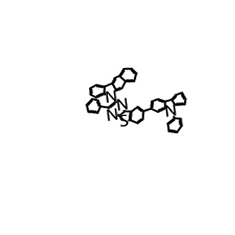 c1ccc(-c2nc3sc4ccc(-c5ccc6c7ccccc7n(-c7ccccc7)c6c5)cc4c3nc2-n2c3ccccc3c3cc4ccccc4cc32)cc1